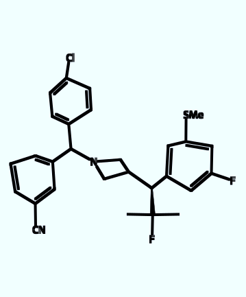 CSc1cc(F)cc([C@H](C2CN(C(c3ccc(Cl)cc3)c3cccc(C#N)c3)C2)C(C)(C)F)c1